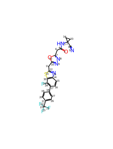 N#CC1(NC(=O)Cc2nnc(Cc3nc4ccc(-c5ccc(C(F)(F)F)cc5)c(F)c4s3)o2)CC1